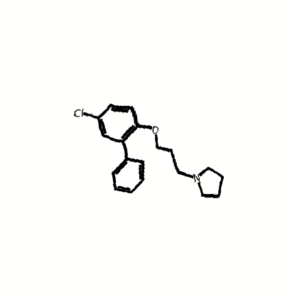 Clc1ccc(OCCCN2CCCC2)c(-c2ccccc2)c1